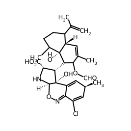 C=C(C)C1CCC(C)[C@]2(O)C([C@H]3[C@@H](C(=O)O)N[C@@H]4ON=C5C(Cl)=C[C@H](C)C=C5[C@@]43O)C(OC=O)C(C)=C[C@@H]12